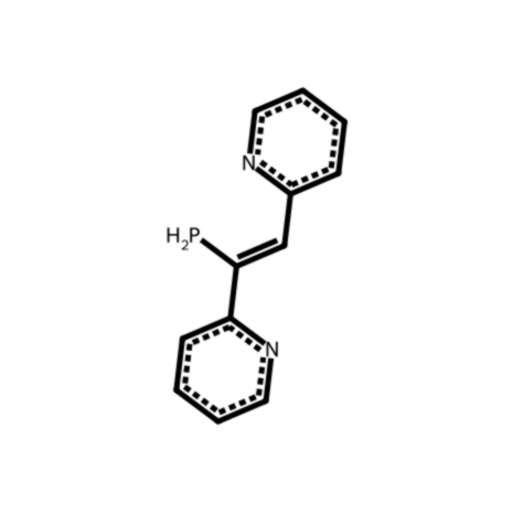 PC(=Cc1ccccn1)c1ccccn1